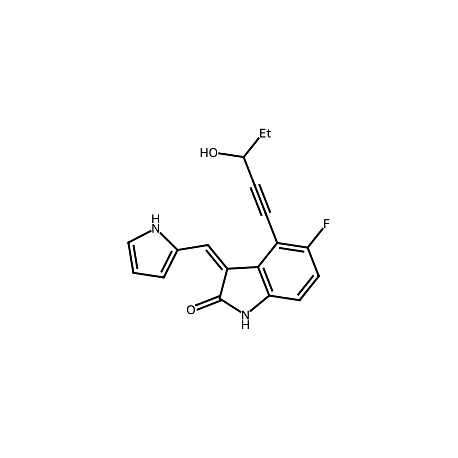 CCC(O)C#Cc1c(F)ccc2c1/C(=C/c1ccc[nH]1)C(=O)N2